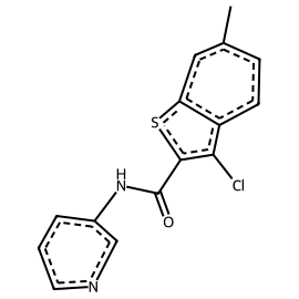 Cc1ccc2c(Cl)c(C(=O)Nc3cccnc3)sc2c1